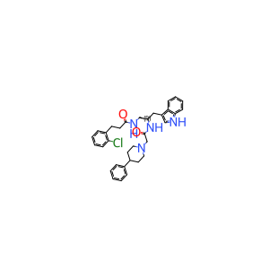 O=C(CCc1ccccc1Cl)NC[C@@H](Cc1c[nH]c2ccccc12)NC(=O)CN1CCC(c2ccccc2)CC1